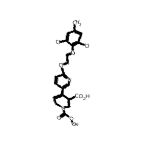 Cc1cc(Cl)c(OCCOc2ccc(C3=CCN(C(=O)OC(C)(C)C)CC3C(=O)O)cn2)c(Cl)c1